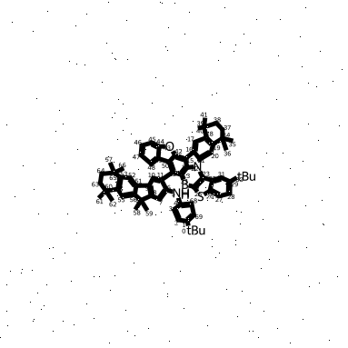 CC(C)(C)c1ccc(Nc2cc3c(cc2-c2c4c5c(c6cc7c(cc6n5-c5c(sc6ccc(C(C)(C)C)cc56)B4)C(C)(C)CCC7(C)C)c4oc5ccccc5c24)-c2cc4c(cc2C3(C)C)C(C)(C)CCC4(C)C)cc1